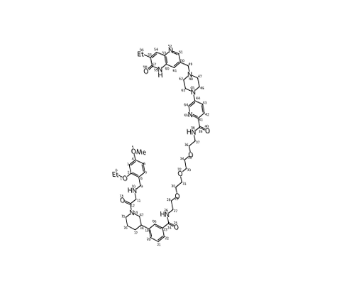 CCOc1cc(OC)ccc1CNCC(=O)N1CCCC(c2cccc(C(=O)NCCOCCOCCOCCNC(=O)c3ccc(N4CCN(Cc5cnc6cc(CC)c(=O)[nH]c6c5)CC4)cn3)c2)C1